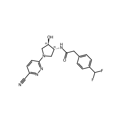 N#Cc1ccc(N2C[C@@H](O)[C@H](NC(=O)Cc3ccc(C(F)F)cc3)C2)nn1